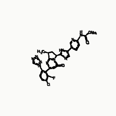 COC(=O)Nc1ccc(-c2cnc([C@@H]3C[C@H](C)c4nc(-c5c(-n6cnnn6)ccc(Cl)c5F)cc(=O)n43)[nH]2)cn1